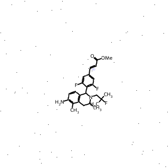 COC(=O)/C=C/c1cc(F)c(C2c3ccc(N)c(C)c3CC(C)N2CC(C)(C)F)c(F)c1